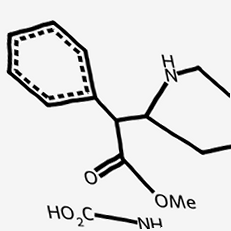 COC(=O)C(c1ccccc1)C1CCCCN1.NC(=O)O